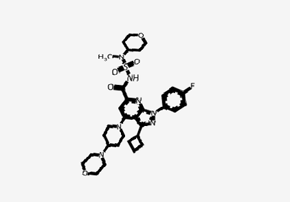 CN(C1CCOCC1)S(=O)(=O)NC(=O)c1cc(N2CCC(N3CCOCC3)CC2)c2c(C3CCC3)nn(-c3ccc(F)cc3)c2n1